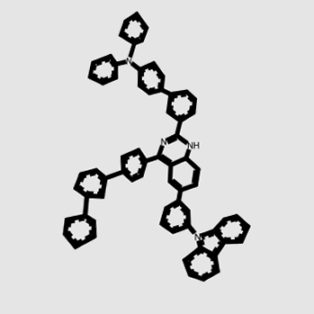 C1=CC2NC(c3cccc(-c4ccc(N(c5ccccc5)c5ccccc5)cc4)c3)=NC(c3ccc(-c4cccc(-c5ccccc5)c4)cc3)=C2C=C1c1cccc(-n2c3ccccc3c3ccccc32)c1